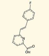 O=C(O)c1cccc(C=Cc2ccc(F)cc2)n1